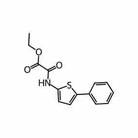 CCOC(=O)C(=O)Nc1ccc(-c2ccccc2)s1